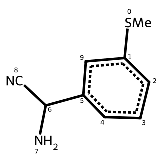 CSc1cccc(C(N)C#N)c1